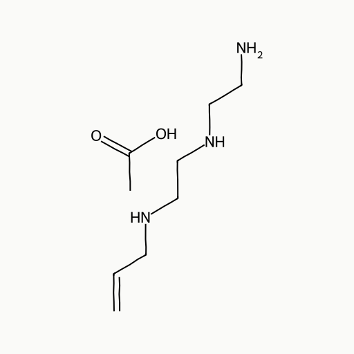 C=CCNCCNCCN.CC(=O)O